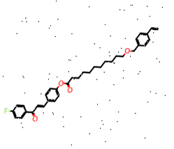 C=Cc1ccc(COCCCCCCCCCCC(=O)Oc2ccc(C=CC(=O)c3ccc(F)cc3)cc2)cc1